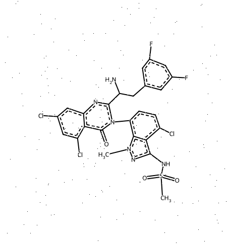 Cn1nc(NS(C)(=O)=O)c2c(Cl)ccc(-n3c(C(N)Cc4cc(F)cc(F)c4)nc4cc(Cl)cc(Cl)c4c3=O)c21